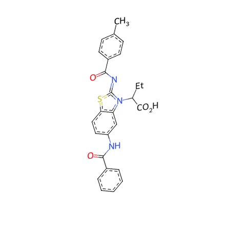 CCC(C(=O)O)n1/c(=N/C(=O)c2ccc(C)cc2)sc2ccc(NC(=O)c3ccccc3)cc21